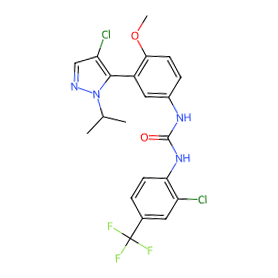 COc1ccc(NC(=O)Nc2ccc(C(F)(F)F)cc2Cl)cc1-c1c(Cl)cnn1C(C)C